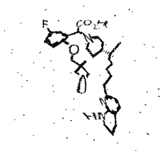 CC(CCCCc1ccc2c(n1)NCCC2)[C@@H]1CCN(C(C(=O)O)c2cc(F)ccc2OCC2(C)COC2)C1